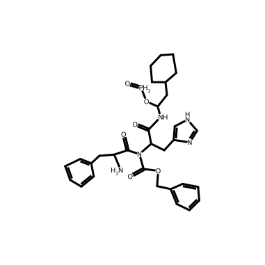 NC(Cc1ccccc1)C(=O)N(C(=O)OCc1ccccc1)C(Cc1c[nH]cn1)C(=O)NC(CC1CCCCC1)O[PH2]=O